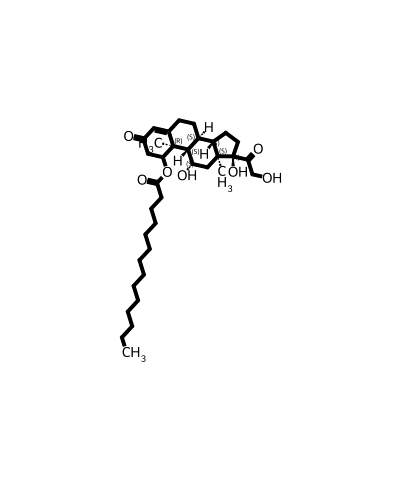 CCCCCCCCCCCCCC(=O)OC1CC(=O)C=C2CC[C@@H]3[C@H]([C@@H](O)C[C@@]4(C)[C@H]3CC[C@]4(O)C(=O)CO)[C@]21C